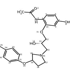 CC(=O)Nc1ccc(O)cc1OC[C@@H](O)CN1CCC(Oc2ccc(Cl)cc2)C1